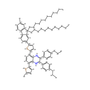 CCCCCCCCCCCCC1(CCCCCCCCCCCC)c2cc(C)ccc2-c2ccc(-c3ccc(-c4ccc(-c5ccc(C)s5)c5nc(-c6ccc(CCC)cc6)c(-c6ccc(CCC)cc6)nc45)s3)cc21